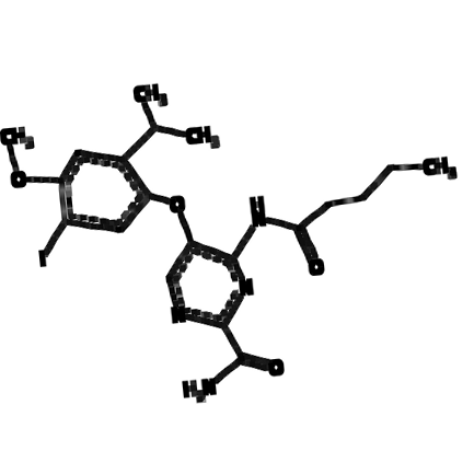 CCCCC(=O)Nc1nc(C(N)=O)ncc1Oc1cc(I)c(OC)cc1C(C)C